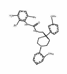 COc1cccc(C2(CNC(=O)Nc3c(C(C)C)ccc(N)c3C(C)C)CCN(c3ccccc3OC)CC2)c1